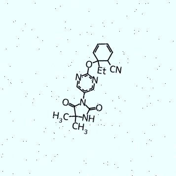 CCC1(Oc2ncc(N3C(=O)NC(C)(C)C3=O)cn2)C=CC=CC1C#N